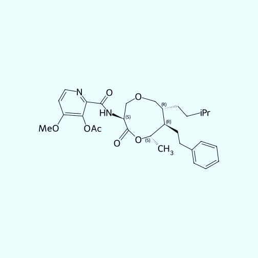 COc1ccnc(C(=O)N[C@H]2COC[C@H](CCC(C)C)[C@@H](CCc3ccccc3)[C@H](C)OC2=O)c1OC(C)=O